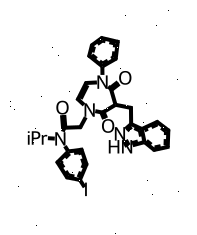 CC(C)N(C(=O)CN1C=CN(c2ccccc2)C(=O)C(Cc2n[nH]c3ccccc23)C1=O)c1ccc(I)cc1